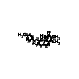 Cc1ccc(N2CCN(Cc3cnc4c(C)c(C)c(=O)[nH]c4c3)C(C)C2)cn1